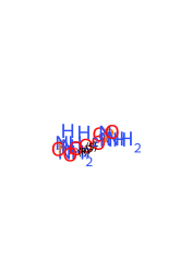 NP(N)(=O)NC(=O)OC[C@H]1CC[C@@H](COC(=O)NP(N)(N)=O)O1